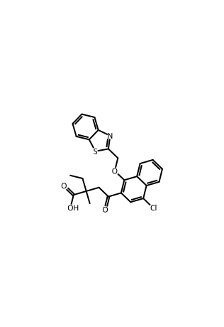 CCC(C)(CC(=O)c1cc(Cl)c2ccccc2c1OCc1nc2ccccc2s1)C(=O)O